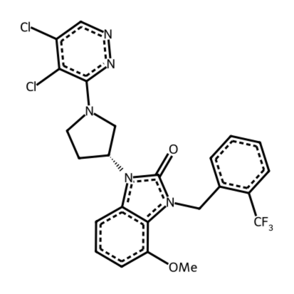 COc1cccc2c1n(Cc1ccccc1C(F)(F)F)c(=O)n2[C@@H]1CCN(c2nncc(Cl)c2Cl)C1